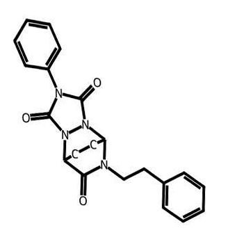 O=C1C2CCC(N1CCc1ccccc1)n1c(=O)n(-c3ccccc3)c(=O)n12